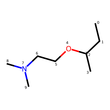 CC[C](C)OCCN(C)C